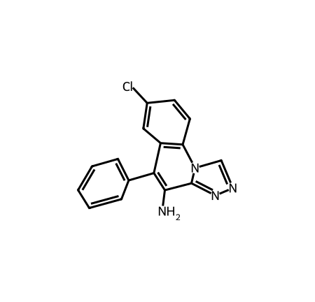 Nc1c(-c2ccccc2)c2cc(Cl)ccc2n2cnnc12